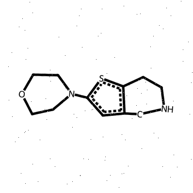 c1c(N2CCOCC2)sc2c1CNCC2